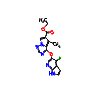 CCOC(=O)c1cn2ncnc(Oc3cnc4[nH]ccc4c3F)c2c1C